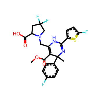 COC(=O)C1=C(CN2CC(F)(F)CC2C(=O)O)NC(c2ccc(F)s2)=NC1(C)c1ccc(F)cc1